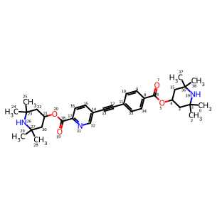 CC1(C)CC(OC(=O)c2ccc(C#Cc3ccc(C(=O)OC4CC(C)(C)NC(C)(C)C4)nc3)cc2)CC(C)(C)N1